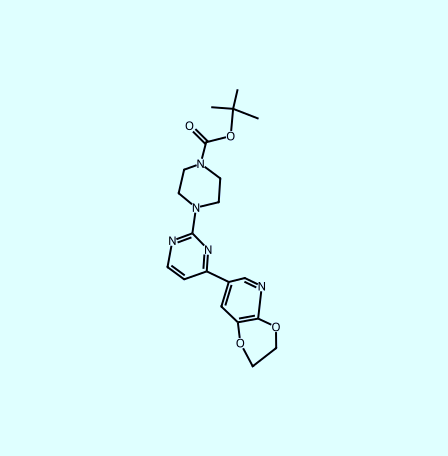 CC(C)(C)OC(=O)N1CCN(c2nccc(-c3cnc4c(c3)OCCO4)n2)CC1